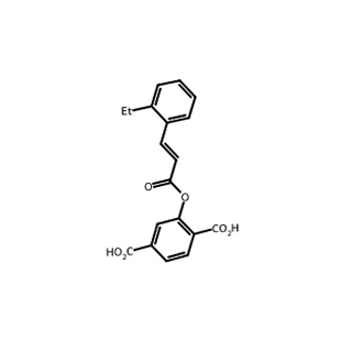 CCc1ccccc1/C=C/C(=O)Oc1cc(C(=O)O)ccc1C(=O)O